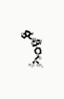 CCN(CC)CC(=O)N1CCC[C@@H](c2cnc(NCc3c(F)ccc4c3CCO4)n3cnnc23)CC1